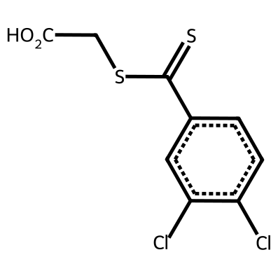 O=C(O)CSC(=S)c1ccc(Cl)c(Cl)c1